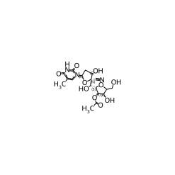 CC(=O)O[C@@H]1[C@H](O)C(CO)O[C@H]1C(O)[C@@]1(C#N)O[C@@H](n2cc(C)c(=O)[nH]c2=O)C[C@@H]1O